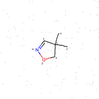 CC1(C)[C]=NOC1